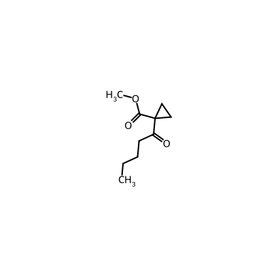 CCCCC(=O)C1(C(=O)OC)CC1